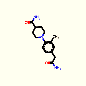 Cc1cc(CC(N)=O)ccc1N1CCC(C(N)=O)CC1